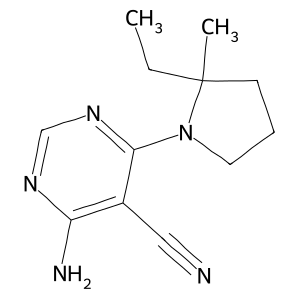 CCC1(C)CCCN1c1ncnc(N)c1C#N